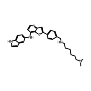 CN(C)CCCCCCNCc1ccc(-c2cc3nccc(Nc4ccc5[nH]ccc5c4)c3s2)cc1